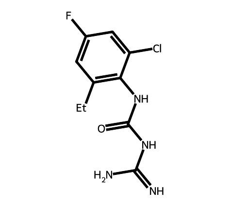 CCc1cc(F)cc(Cl)c1NC(=O)NC(=N)N